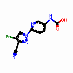 N#Cc1nn(-c2ccc(NC(=O)O)cn2)cc1Br